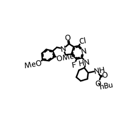 CCCCOC(=O)NC1CCCCC1Nc1nc(Cl)c2c(c1F)CN(Cc1ccc(OC)cc1OC)C2=O